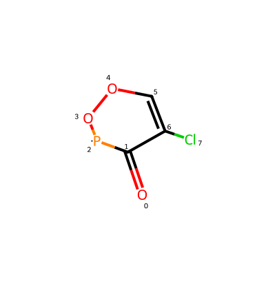 O=C1[P]OOC=C1Cl